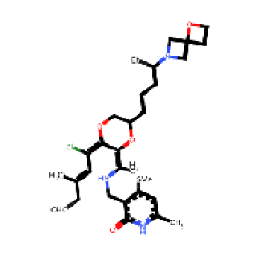 CCC(CCCC1COC(=C(Cl)/C=C(\C)CC=O)/C(=C(/C)NCc2c(SC)cc(C)[nH]c2=O)O1)N1CC2(CCO2)C1